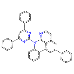 c1ccc(-c2cc3c4c(nccc4c2)N(c2nc(-c4ccccc4)cc(-c4ccccc4)n2)c2ccccc2-3)cc1